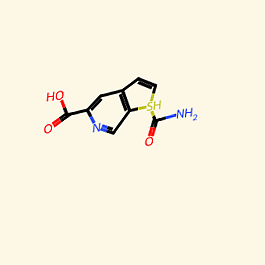 NC(=O)[SH]1C=Cc2cc(C(=O)O)ncc21